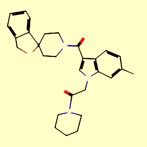 O=C(Cn1cc(C(=O)N2CCC3(CC2)OCc2ccccc23)c2ccc(Cl)cc21)N1CCCCC1